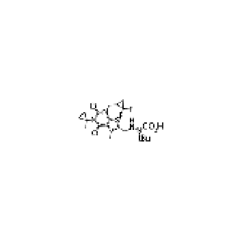 Cc1c(CNN(C(=O)O)C(C)(C)C)sc2c1c(=O)n(C1(C)CC1)c(=O)n2CC1CC1(F)F